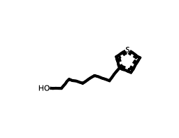 OCCCCCc1ccsc1